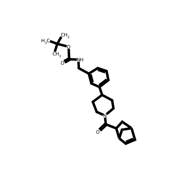 CC(C)(C)OC(=O)NCc1cccc(C2CCN(C(=O)C3CC4C=CC3C4)CC2)c1